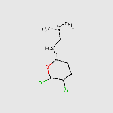 C[SiH](C)C[SiH2][SiH]1CCC(Cl)C(Cl)O1